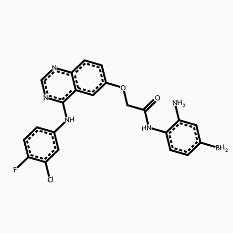 Bc1ccc(NC(=O)COc2ccc3ncnc(Nc4ccc(F)c(Cl)c4)c3c2)c(N)c1